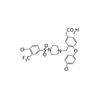 O=C(O)Cc1ccc(Oc2ccc(Cl)cc2)c(CN2CCN(S(=O)(=O)c3ccc(Cl)c(C(F)(F)F)c3)CC2)c1